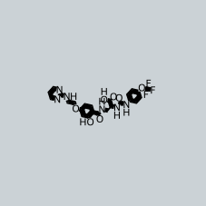 O=C(Nc1ccc(OC(F)(F)F)cc1)N[C@@H](CNC(=O)c1ccc(OCCNc2ncccn2)cc1O)C(=O)O